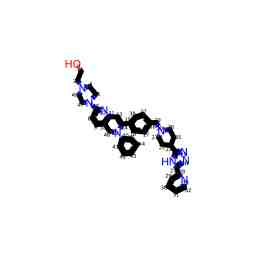 OCCN1CCN(c2ccc3c(n2)C=C(c2ccc(CN4CCC(c5nnc(-c6ccccn6)[nH]5)CC4)cc2)N(c2ccccc2)C3)CC1